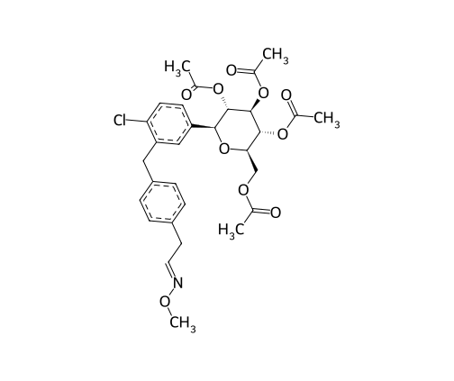 CON=CCc1ccc(Cc2cc([C@@H]3O[C@H](COC(C)=O)[C@@H](OC(C)=O)[C@H](OC(C)=O)[C@H]3OC(C)=O)ccc2Cl)cc1